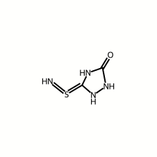 N=S=c1[nH][nH]c(=O)[nH]1